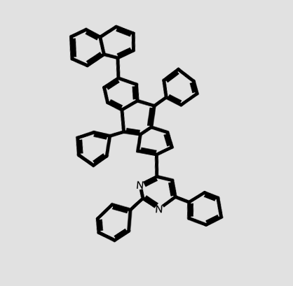 c1ccc(-c2cc(-c3ccc4c(-c5ccccc5)c5cc(-c6cccc7ccccc67)ccc5c(-c5ccccc5)c4c3)nc(-c3ccccc3)n2)cc1